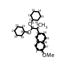 COc1ccc2cc(C(C)C(OC3CCCCC3)OC3CCCCC3)ccc2c1